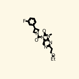 CCOCCc1ncc2c(n1)n(C)c(=O)n2C(=O)N1CC(c2cccc(F)c2)C1